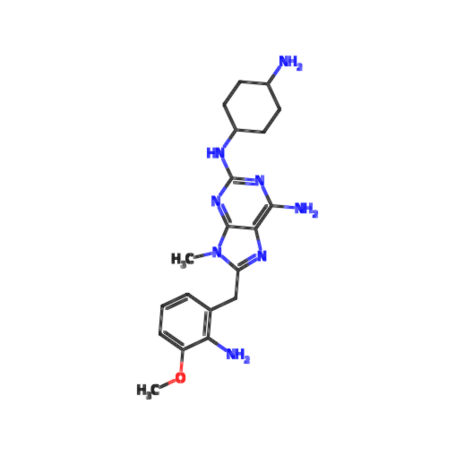 COc1cccc(Cc2nc3c(N)nc(NC4CCC(N)CC4)nc3n2C)c1N